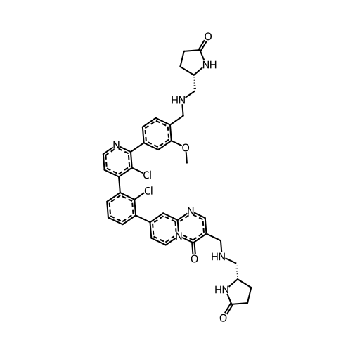 COc1cc(-c2nccc(-c3cccc(-c4ccn5c(=O)c(CNC[C@@H]6CCC(=O)N6)cnc5c4)c3Cl)c2Cl)ccc1CNC[C@@H]1CCC(=O)N1